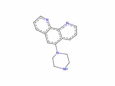 c1cnc2c(c1)cc(N1CCNCC1)c1cccnc12